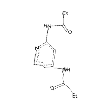 CCC(=O)Nc1ccnc(NC(=O)CC)c1